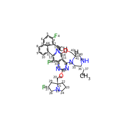 C#Cc1c(F)ccc2cccc(-c3nc4c5c(nc(OC[C@@]67CCCN6C[C@H](F)C7)nc5c3F)N3C[C@@H](CC)NC[C@H]3CO4)c12